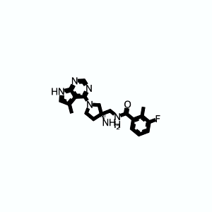 Cc1c(F)cccc1C(=O)NC[C@@]1(N)CCN(c2ncnc3[nH]cc(C)c23)C1